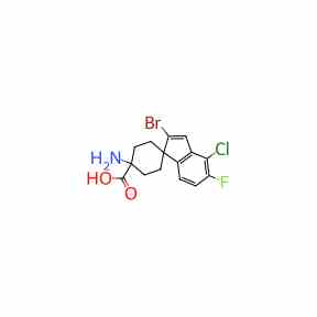 NC1(C(=O)O)CCC2(CC1)C(Br)=Cc1c2ccc(F)c1Cl